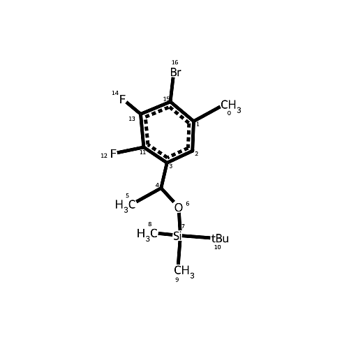 Cc1cc(C(C)O[Si](C)(C)C(C)(C)C)c(F)c(F)c1Br